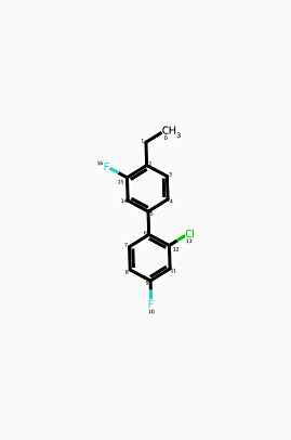 CCc1ccc(-c2ccc(F)cc2Cl)cc1F